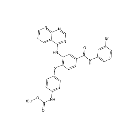 CC(C)(C)OC(=O)Nc1ccc(Sc2ccc(C(=O)Nc3cccc(Br)c3)cc2Nc2ncnc3ncccc23)cc1